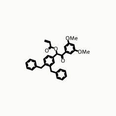 C=CC(=O)OC(C(=O)c1cc(OC)cc(OC)c1)c1ccc(Cc2ccccc2)c(Cc2ccccc2)c1